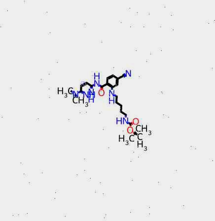 CN(C)C(=N)/C=C\C(=N)NC(=O)c1ccc(C#N)cc1NCCCCCNC(=O)OC(C)(C)C